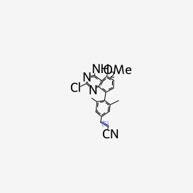 COc1ccc(-c2c(C)cc(/C=C/C#N)cc2C)c2nc(Cl)nc(N)c12